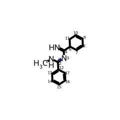 CN/C(=N\C(=N)C1C=CC=CC1)c1ccccc1